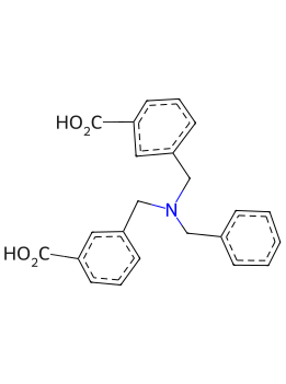 O=C(O)c1cccc(CN(Cc2ccccc2)Cc2cccc(C(=O)O)c2)c1